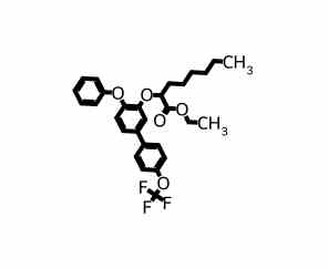 CCCCCCC(Oc1cc(-c2ccc(OC(F)(F)F)cc2)ccc1Oc1ccccc1)C(=O)OCC